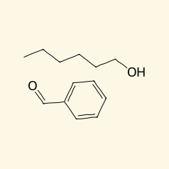 CCCCCCO.O=Cc1ccccc1